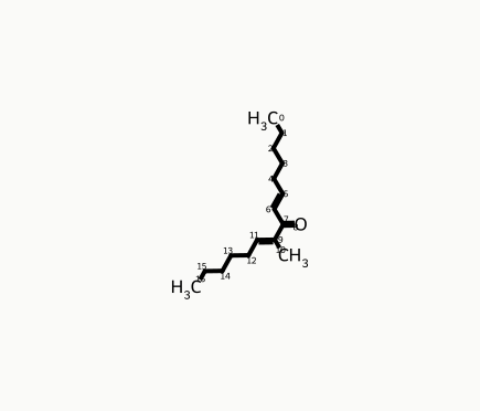 CCCCCC=CC(=O)C(C)=CCCCCC